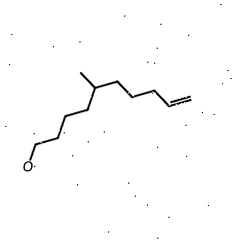 C=CCCCC(C)CCCC[O]